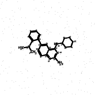 CN(C)c1ccccc1-c1ccc2nc(N)nc(NC3CCCCC3)c2c1